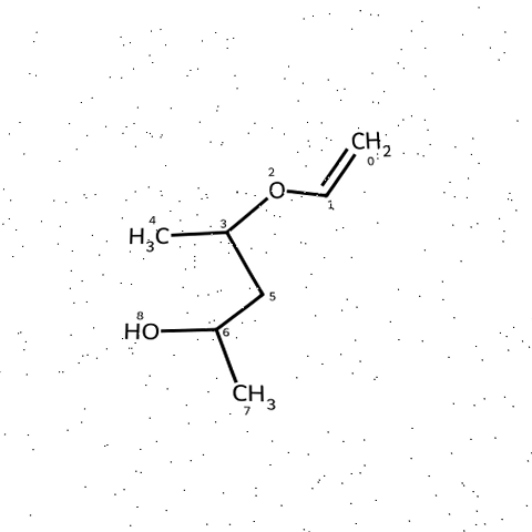 C=COC(C)CC(C)O